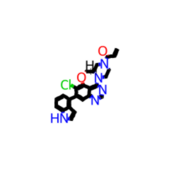 C=CC(=O)N1CCN2c3ncnc4cc(-c5cccc6[nH]ccc56)c(Cl)c(c34)OC[C@@H]2C1